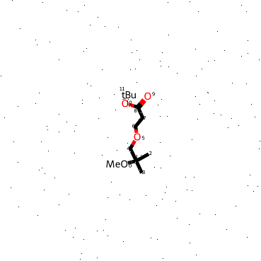 COC(C)(C)COCCC(=O)OC(C)(C)C